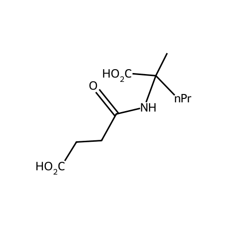 CCCC(C)(NC(=O)CCC(=O)O)C(=O)O